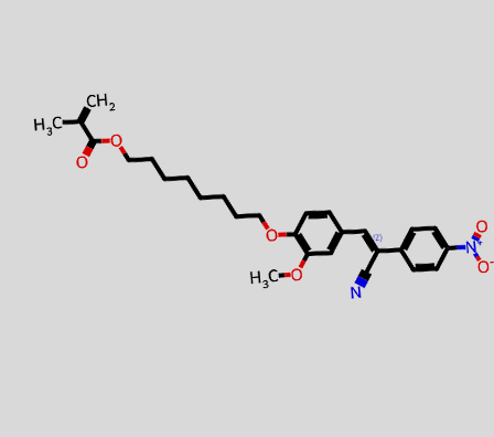 C=C(C)C(=O)OCCCCCCCCOc1ccc(/C=C(\C#N)c2ccc([N+](=O)[O-])cc2)cc1OC